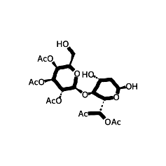 CC(=O)OC(C(C)=O)[C@H]1O[C@H](O)C[C@@H](O)[C@@H]1O[C@@H]1O[C@H](CO)[C@H](OC(C)=O)[C@H](OC(C)=O)[C@H]1OC(C)=O